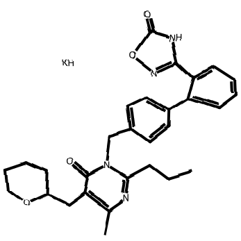 CCCc1nc(C)c(CC2CCCCO2)c(=O)n1Cc1ccc(-c2ccccc2-c2noc(=O)[nH]2)cc1.[KH]